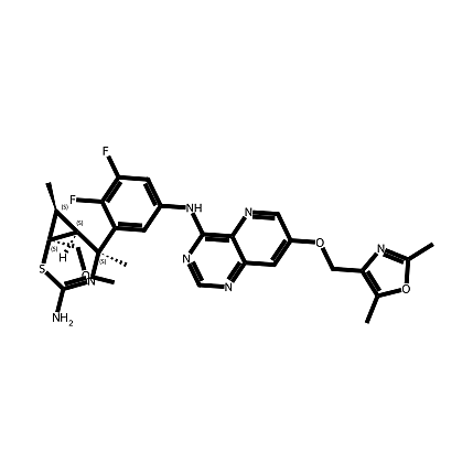 COC[C@@]12SC(N)=N[C@](C)(c3cc(Nc4ncnc5cc(OCc6nc(C)oc6C)cnc45)cc(F)c3F)[C@@H]1[C@@H]2C